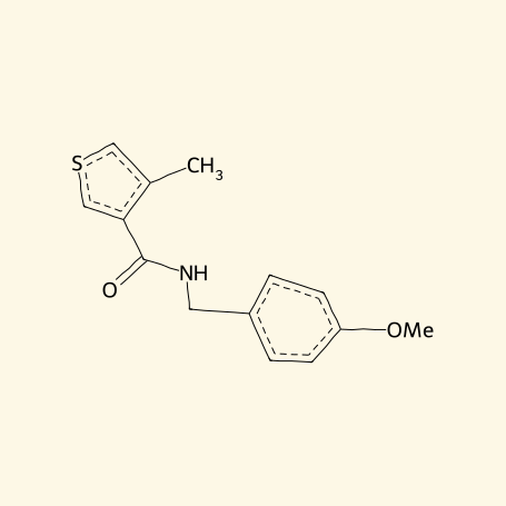 COc1ccc(CNC(=O)c2cscc2C)cc1